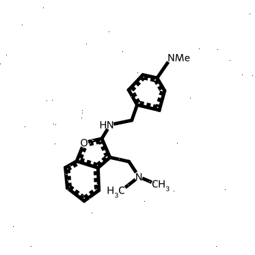 CNc1ccc(CNc2oc3ccccc3c2CN(C)C)cc1